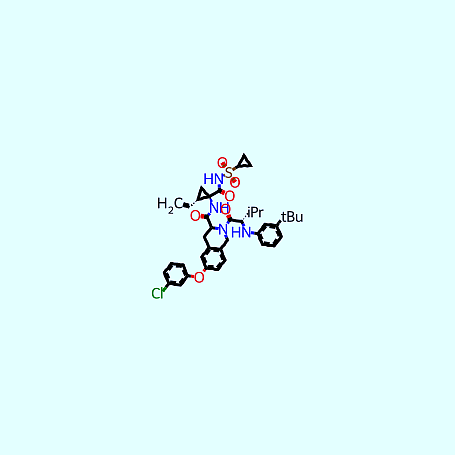 C=C[C@@H]1C[C@]1(NC(=O)C1Cc2cc(Oc3cccc(Cl)c3)ccc2CN1C(=O)[C@@H](Nc1cccc(C(C)(C)C)c1)C(C)C)C(=O)NS(=O)(=O)C1CC1